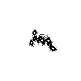 CC1(C)c2cc(-c3cc(-c4ccccc4)cc(-c4ccccc4)c3)ccc2-c2ccc(-c3cccc4c3sc3ccccc34)cc21